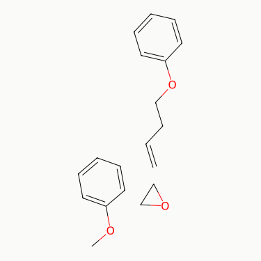 C1CO1.C=CCCOc1ccccc1.COc1ccccc1